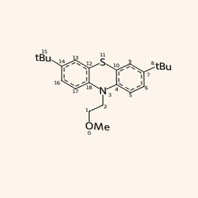 COCCN1c2ccc(C(C)(C)C)cc2Sc2cc(C(C)(C)C)ccc21